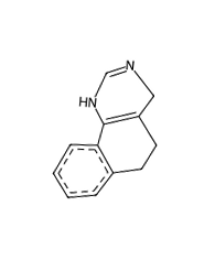 C1=NCC2=C(N1)c1ccccc1CC2